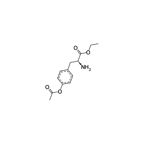 CCOC(=O)[C@@H](N)Cc1ccc(OC(C)=O)cc1